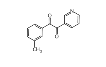 Cc1cccc(C(=O)C(=O)c2cccnc2)c1